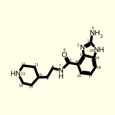 Nc1nc2c(C(=O)NCCC3CCNCC3)cccc2[nH]1